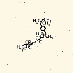 CCC(C)(C)Cc1ccc(C[N+](C)(C)CCC(=O)NCCC[N+](C)(C)C(C)(CC)CC)cc1